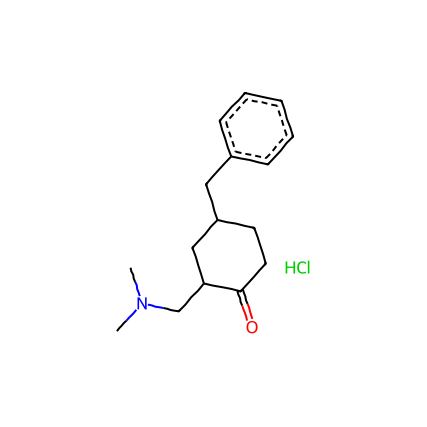 CN(C)CC1CC(Cc2ccccc2)CCC1=O.Cl